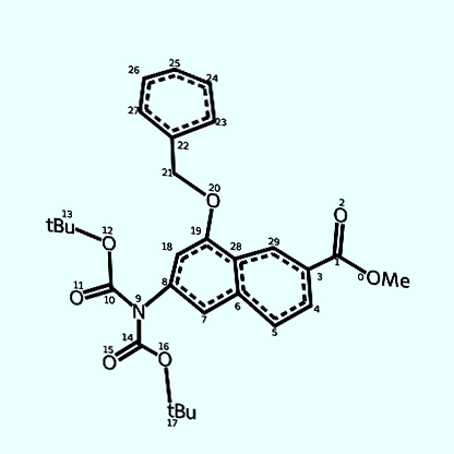 COC(=O)c1ccc2cc(N(C(=O)OC(C)(C)C)C(=O)OC(C)(C)C)cc(OCc3ccccc3)c2c1